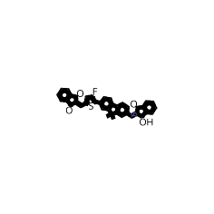 CC1(C)c2cc(/C=C3\C(=O)c4ccccc4C3O)ccc2-c2ccc(-c3sc(C=C4C(=O)c5ccccc5C4=O)cc3F)cc21